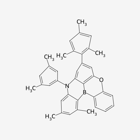 Cc1cc(C)cc(N2c3cc(C)cc(C)c3B3c4ccccc4Oc4cc(-c5c(C)cc(C)cc5C)cc2c43)c1